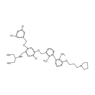 Cc1c(COc2cc(OCc3cc(Cl)cc(Cl)c3)c(CNC(CO)CO)cc2Cl)cccc1-c1cccc(OCCCN2CCCC2)c1C